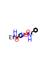 CCNC(=O)C1=CCN(COC(=O)N[C@@H](C)Cc2ccccc2)C=C1